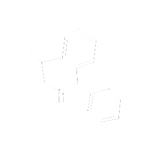 CC1CNC(c2ccccc2)c2ccccc21